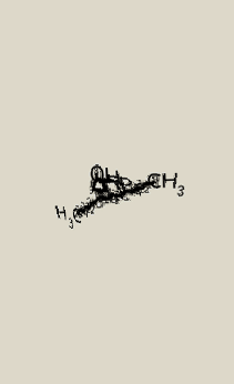 CC(C)Cc1ccccc1O.CCCCCCCCCCCCCCCCCC